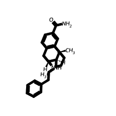 CN1CC[C@@]2(C)c3cc(C(N)=O)ccc3C[C@@H]1[C@@H]2NCCc1ccccc1